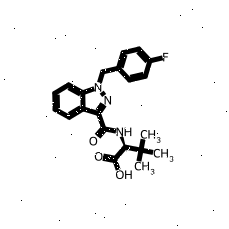 CC(C)(C)[C@H](NC(=O)c1nn(Cc2ccc(F)cc2)c2ccccc12)C(=O)O